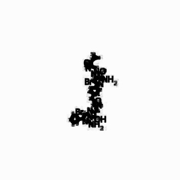 NC1=NC(c2ccccc2)=C(Br)C2=NN(Cc3cc(Cc4ccc(-c5nc(N)n6c(=O)n(Cc7ncoc7C7CC7)nc6c5Br)cc4)on3)C(O)N12